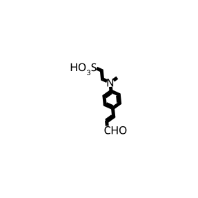 CN(CCS(=O)(=O)O)c1ccc(C=CC=O)cc1